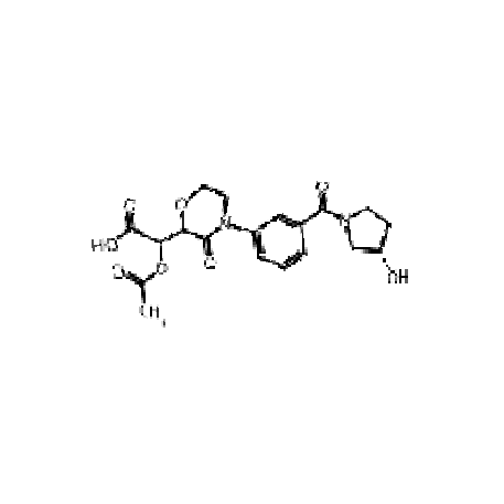 CC(=O)O[C@@H](C(=O)O)[C@H]1OCCN(c2cccc(C(=O)N3CC[C@H](O)C3)c2)C1=O